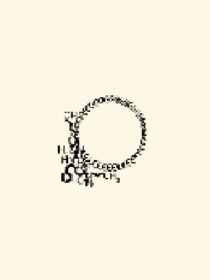 CCCCNC(=O)C(C)CC(O)C(Cc1ccccc1)NC(=O)C(C)N1CCCCCCCCCCCCCCCCCCCCCCCCCCCCCCCCCCCCCCCC2(CCCN2CC=CCO)C1=O